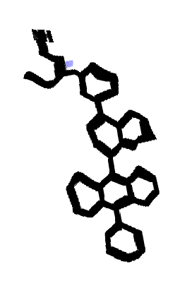 C=C/C(=C\C=N)c1cccc(-c2ccc(-c3c4ccccc4c(-c4ccccc4)c4ccccc34)c3ccccc23)c1